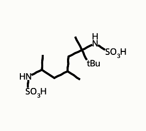 CC(CC(C)NS(=O)(=O)O)CC(C)(NS(=O)(=O)O)C(C)(C)C